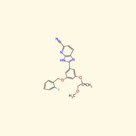 COC[C@H](C)Oc1cc(OCc2ccccc2F)cc(-c2nc3ccc(C#N)nc3[nH]2)c1